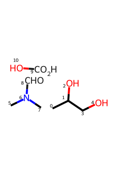 CC(O)CO.CN(C)C=O.O=C(O)O